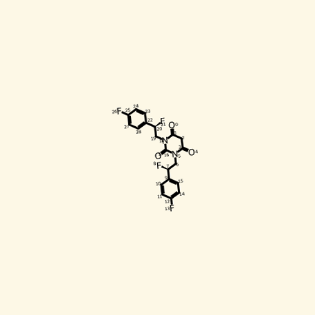 O=C1CC(=O)N(C[C@H](F)c2ccc(F)cc2)C(=O)N1C[C@H](F)c1ccc(F)cc1